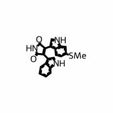 CSc1ccc2c(C3=C(c4c[nH]c5ccccc45)C(=O)NC3=O)c[nH]c2c1